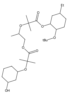 CCC1CCC(OC(C)(C)C)C(OC(=O)C(C)(C)OC(C)COC(=O)C(C)(C)OC2CCCC(O)C2)C1